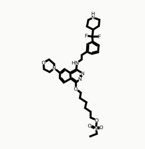 CCS(=O)(=O)OCCCCCCOc1nnc(NCCc2cccc(C(F)(F)C3CCNCC3)c2)c2cc(N3CCOCC3)ccc12